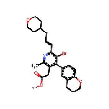 Cc1nc(/C=C/CC2CCOCC2)c(Br)c(-c2ccc3c(c2)CCCO3)c1CC(=O)OC(C)C